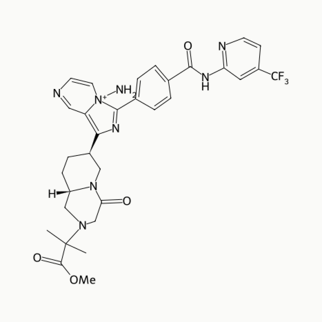 COC(=O)C(C)(C)N1CC(=O)N2C[C@H](C3=C4C=NC=C[N+]4(N)C(c4ccc(C(=O)Nc5cc(C(F)(F)F)ccn5)cc4)=N3)CC[C@H]2C1